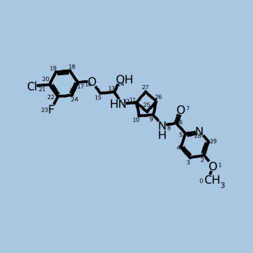 COc1ccc(C(=O)NC2CC3(NC(O)COc4ccc(Cl)c(F)c4)CC2C3)nc1